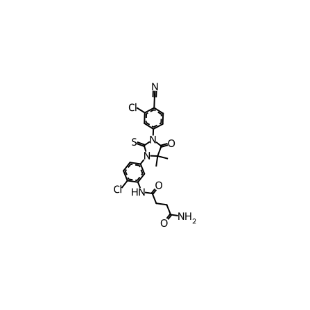 CC1(C)C(=O)N(c2ccc(C#N)c(Cl)c2)C(=S)N1c1ccc(Cl)c(NC(=O)CCC(N)=O)c1